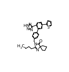 CCCCC1=NC2(CCCC2)C(=O)N1Cc1ccc(-c2cc(-c3cccs3)ccc2-c2nn[nH]n2)cc1